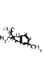 CCC1(C)Cc2cc(C)ccc2O1